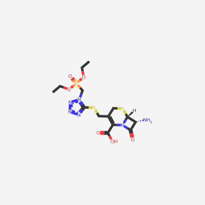 CCOP(=O)(Cn1nnnc1SCC1=C(C(=O)O)N2C(=O)[C@@H](N)[C@H]2SC1)OCC